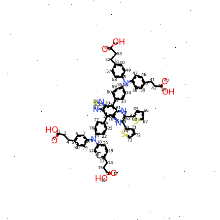 O=C(O)CCc1ccc(N(c2ccc(CCC(=O)O)cc2)c2ccc(-c3c4nsnc4c(-c4ccc(N(c5ccc(CCC(=O)O)cc5)c5ccc(CCC(=O)O)cc5)cc4)c4nc(-c5cccs5)c(-c5cccs5)nc34)cc2)cc1